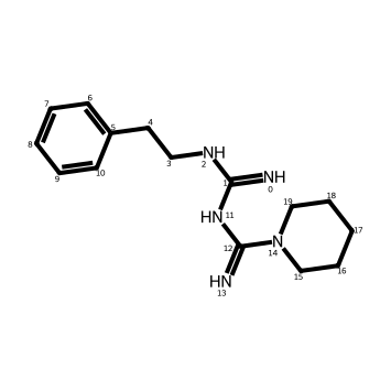 N=C(NCCc1ccccc1)NC(=N)N1CCCCC1